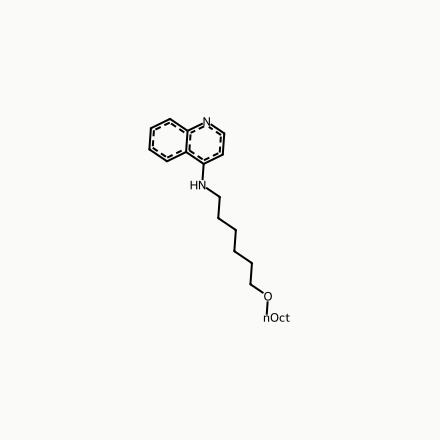 CCCCCCCCOCCCCCCNc1ccnc2ccccc12